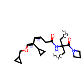 CCC(CC)(NC(=O)C/C=C\C(=C\OCC1CC1)C1CC1)C(=O)N1CCC1